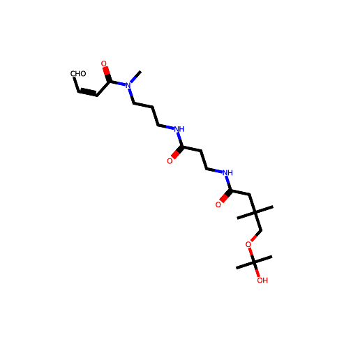 CN(CCCNC(=O)CCNC(=O)CC(C)(C)COC(C)(C)O)C(=O)/C=C\C=O